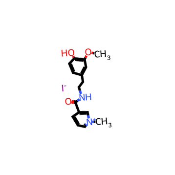 COc1cc(CCNC(=O)c2ccc[n+](C)c2)ccc1O.[I-]